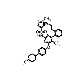 CC(C)CCc1ccccc1-c1nc(NS(=O)(=O)c2cnn(C)c2)nc(Oc2ccc(C3CCN(C)CC3)cc2)c1C(F)(F)F